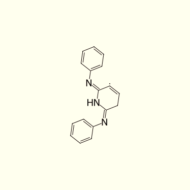 [C]1=CCC(=Nc2ccccc2)NC1=Nc1ccccc1